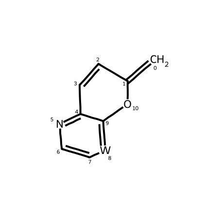 C=C1C=CC2=NC=[CH][W]=[C]2O1